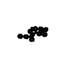 c1ccc(-c2ccc(-n3c4ccccc4c4cc(N(c5ccc6c(c5)C(c5ccccc5)(c5ccccc5)c5ccccc5-6)c5cccc6oc7ccccc7c56)ccc43)cc2)cc1